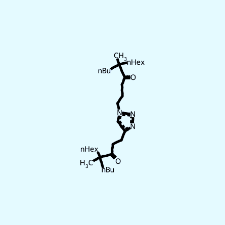 CCCCCCC(C)(CCCC)C(=O)CCCn1cc(CCC(=O)C(C)(CCCC)CCCCCC)nn1